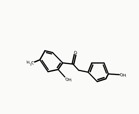 Cc1ccc(C(=O)Cc2ccc(O)cc2)c(O)c1